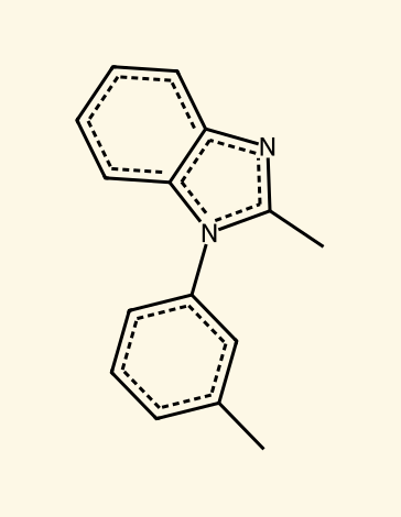 Cc1cccc(-n2c(C)nc3ccccc32)c1